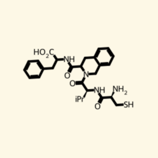 CC(C)[C@H](NC(=O)[C@@H](N)CS)C(=O)N1Cc2ccccc2CC1C(=O)NC(Cc1ccccc1)C(=O)O